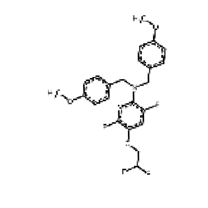 COc1ccc(CN(Cc2ccc(OC)cc2)c2nc(F)c(OCC(F)F)cc2F)cc1